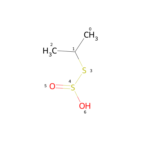 CC(C)SS(=O)O